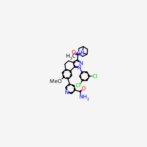 COc1cc2c(cc1-c1cncc(C(N)=O)c1)-c1c(c(C(=O)N3C4CC3CN(C)C4)nn1-c1cc(Cl)cc(Cl)c1)CC2